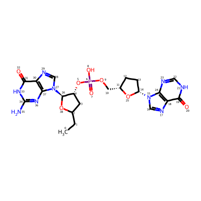 CCC1C[C@@H](OP(=O)(O)OC[C@@H]2CC[C@H](n3cnc4c(=O)[nH]cnc43)O2)[C@H](n2cnc3c(=O)[nH]c(N)nc32)O1